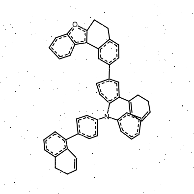 C1=CCCC(c2cc(-c3ccc4c(c3)-c3c(oc5ccccc35)CC4)ccc2N(c2ccccc2)c2ccc(-c3cccc4c3C=CCC4)cc2)=C1